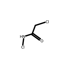 O=C(CCl)NCl